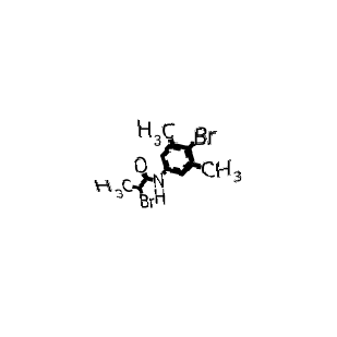 Cc1cc(NC(=O)C(C)Br)cc(C)c1Br